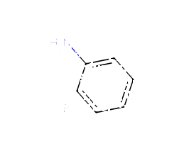 Nc1ccccc1.[B]